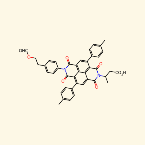 Cc1ccc(-c2cc3c4c(c(-c5ccc(C)cc5)cc5c4c2C(=O)N(c2ccc(CCOC=O)cc2)C5=O)C(=O)N(C(C)CC(=O)O)C3=O)cc1